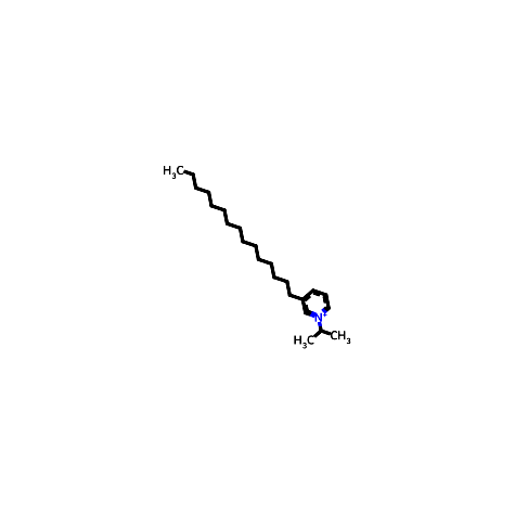 CCCCCCCCCCCCCCCc1ccc[n+](C(C)C)c1